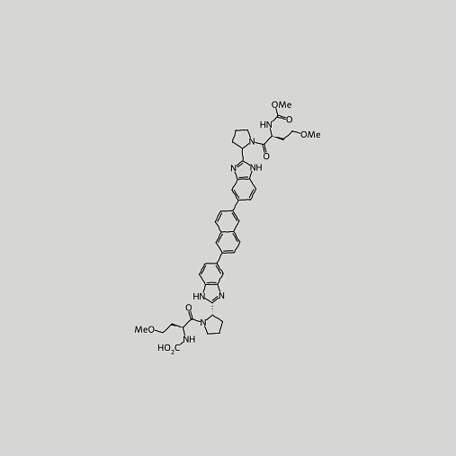 COCC[C@H](NC(=O)OC)C(=O)N1CCCC1c1nc2cc(-c3ccc4cc(-c5ccc6[nH]c([C@@H]7CCCN7C(=O)[C@H](CCOC)NC(=O)O)nc6c5)ccc4c3)ccc2[nH]1